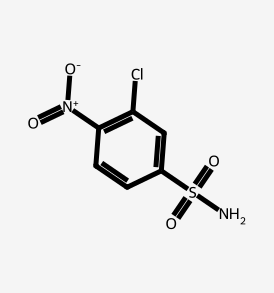 NS(=O)(=O)c1ccc([N+](=O)[O-])c(Cl)c1